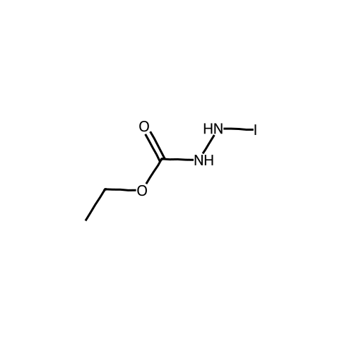 CCOC(=O)NNI